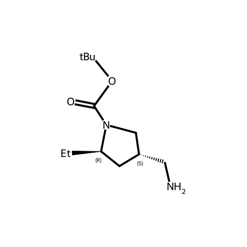 CC[C@@H]1C[C@@H](CN)CN1C(=O)OC(C)(C)C